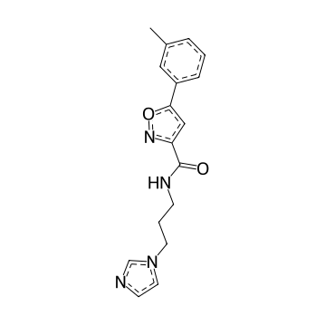 Cc1cccc(-c2cc(C(=O)NCCCn3ccnc3)no2)c1